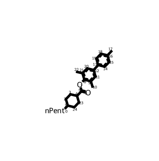 CCCCCC1CCC(C(=O)Oc2c(C)cc(-c3ccc(C)cc3)cc2C)CC1